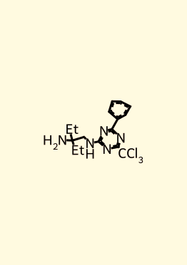 CCC(N)(CC)CNc1nc(-c2ccccc2)nc(C(Cl)(Cl)Cl)n1